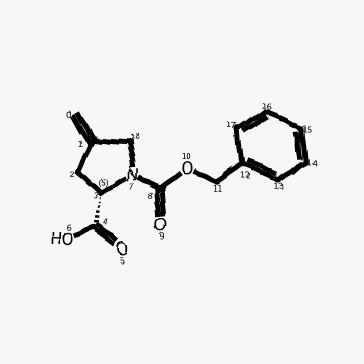 C=C1C[C@@H](C(=O)O)N(C(=O)OCc2ccccc2)C1